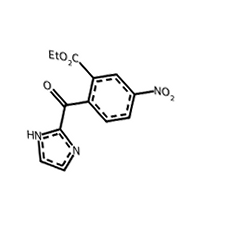 CCOC(=O)c1cc([N+](=O)[O-])ccc1C(=O)c1ncc[nH]1